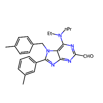 CCCN(CC)c1nc(C=O)nc2nc(-c3cccc(C)c3)n(Cc3ccc(C)cc3)c12